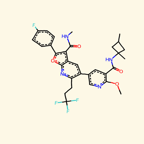 CNC(=O)c1c(-c2ccc(F)cc2)oc2nc(CCC(F)(F)F)c(-c3cnc(OC)c(C(=O)NC4(C)CC(C)C4)c3)cc12